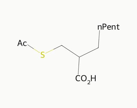 CCCCCCC(CSC(C)=O)C(=O)O